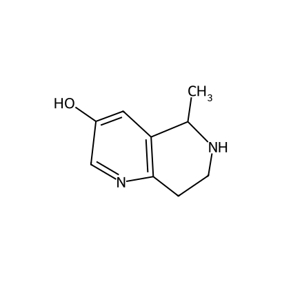 CC1NCCc2ncc(O)cc21